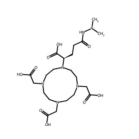 CN(C)NC(=O)CC[C@H](C(=O)O)N1CCN(CC(=O)O)CCN(CC(=O)O)CCN(CC(=O)O)CC1